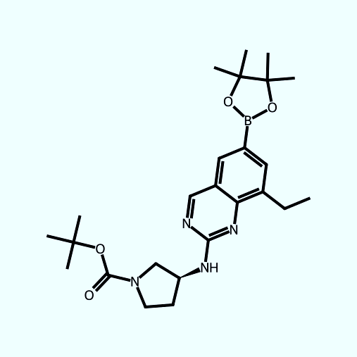 CCc1cc(B2OC(C)(C)C(C)(C)O2)cc2cnc(N[C@H]3CCN(C(=O)OC(C)(C)C)C3)nc12